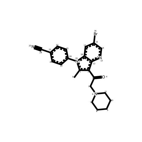 Cc1c(C(=O)CN2CCCCC2)c2ncc(Br)cc2n1-c1ccc(C#N)cc1